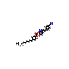 CCCCCCCC1CCC(C(=O)Oc2ccc(CCc3ccc(C#N)cc3)nc2)CC1